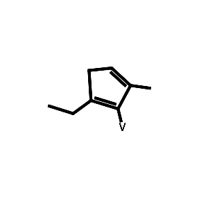 CCC1=[C]([V])C(C)=CC1